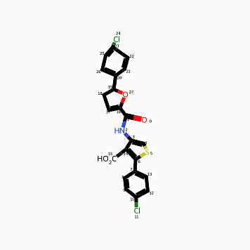 O=C(Nc1csc(-c2ccc(Cl)cc2)c1C(=O)O)C1=CCC(c2ccc(Cl)cc2)O1